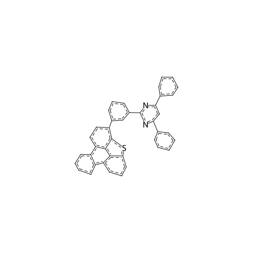 c1ccc(-c2cc(-c3ccccc3)nc(-c3cccc(-c4ccc5c6ccccc6c6cccc7sc4c5c76)c3)n2)cc1